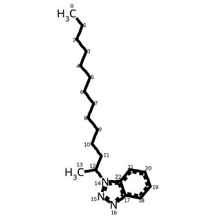 CCCCCCCCCCCCC(C)n1nnc2ccccc21